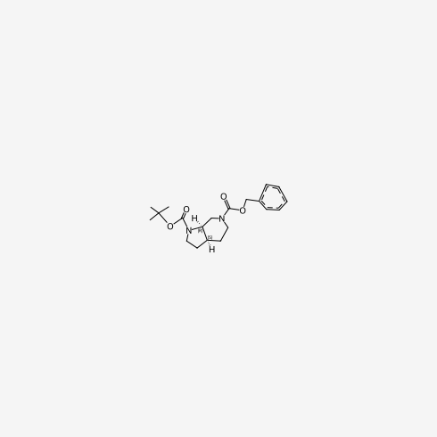 CC(C)(C)OC(=O)N1CC[C@@H]2CCN(C(=O)OCc3ccccc3)C[C@@H]21